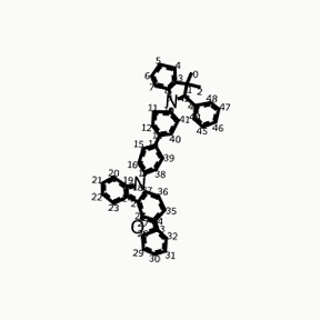 CC1(C)c2ccccc2N(c2ccc(-c3ccc(-n4c5ccccc5c5c6oc7ccccc7c6ccc54)cc3)cc2)C1c1ccccc1